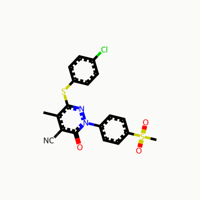 Cc1c(Sc2ccc(Cl)cc2)nn(-c2ccc(S(C)(=O)=O)cc2)c(=O)c1C#N